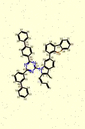 C=C/C=C\c1c(C)c2ccc(-c3cccc4c3sc3ccccc34)cc2n1-c1nc(-c2ccc(-c3ccccc3)cc2)nc(-c2cccc(-c3ccccc3)c2)n1